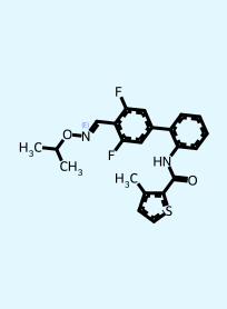 Cc1ccsc1C(=O)Nc1ccccc1-c1cc(F)c(/C=N/OC(C)C)c(F)c1